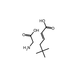 CC(C)(C)CC=CC(=O)O.NCC(=O)O